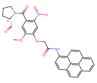 COc1cc(C(=O)N2CCC[C@H]2C=O)c([N+](=O)[O-])cc1OCC(=O)Nc1ccc2ccc3cccc4ccc1c2c34